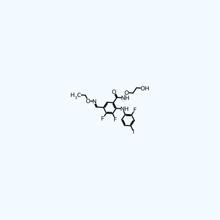 CCON=Cc1cc(C(=O)NOCCO)c(Nc2ccc(I)cc2F)c(F)c1F